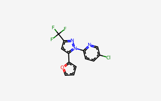 FC(F)(F)c1cc(-c2ccco2)n(-c2ccc(Cl)cn2)n1